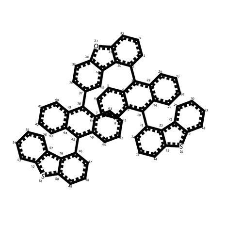 c1cc(-c2c3ccccc3c(-c3cccc4sc5ccccc5c34)c3ccccc23)c2c(c1)oc1ccc(-c3c4ccccc4c(-c4cccc5sc6ccccc6c45)c4ccccc34)cc12